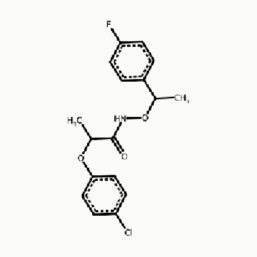 CC(Oc1ccc(Cl)cc1)C(=O)NOC(C)c1ccc(F)cc1